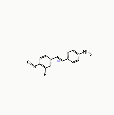 Nc1ccc(/C=C/c2ccc(N=O)c(F)c2)cc1